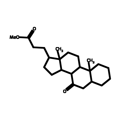 COC(=O)CCC1CCC2C3C(=O)CC4CCCCC4(C)C3CCC12C